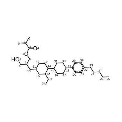 C=C(C)C(=O)OCC(CO)CC1CCC(C2CCC(c3ccc(CCCCC)cc3)CC2)C(CC)C1